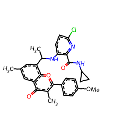 COc1ccc(-c2oc3c(C(C)Nc4ccc(Cl)nc4C(=O)NC4CC4)cc(C)cc3c(=O)c2C)cc1